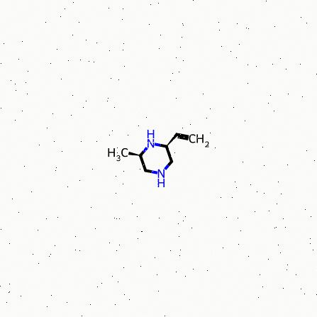 C=C[C@H]1CNC[C@@H](C)N1